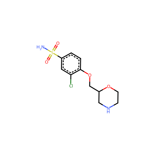 NS(=O)(=O)c1ccc(OCC2CNCCO2)c(Cl)c1